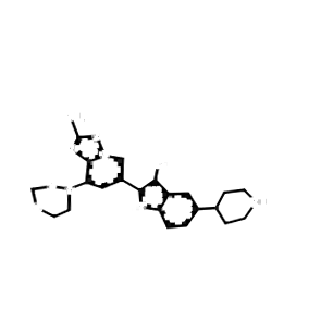 Cc1nc2c(N3CCOCC3)cc(-c3[nH]c4ccc(C5CCNCC5)cc4c3C(C)C)cn2n1